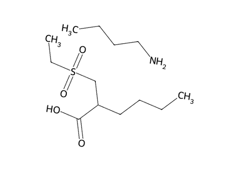 CCCCC(CS(=O)(=O)CC)C(=O)O.CCCCN